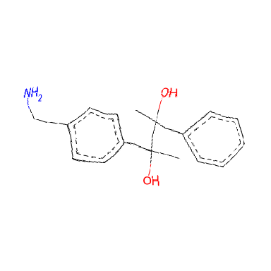 CC(O)(c1ccccc1)C(C)(O)c1ccc(CN)cc1